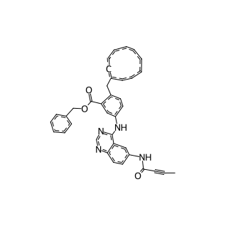 CC#CC(=O)Nc1ccc2ncnc(Nc3ccc(Cc4ccccccccc4)c(C(=O)OCc4ccccc4)c3)c2c1